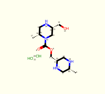 C[C@@H]1CN[C@H](COC(=O)N2C[C@@H](CO)NC[C@H]2C)CN1.Cl.Cl